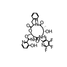 C[C@H]1OC(=O)C(Cc2ccccc2)NC(=O)[C@H](C)[C@H](O)[C@H](Cc2c(F)nc(F)c(F)c2F)NC(=O)[C@H]1NC(=O)c1ncccc1O